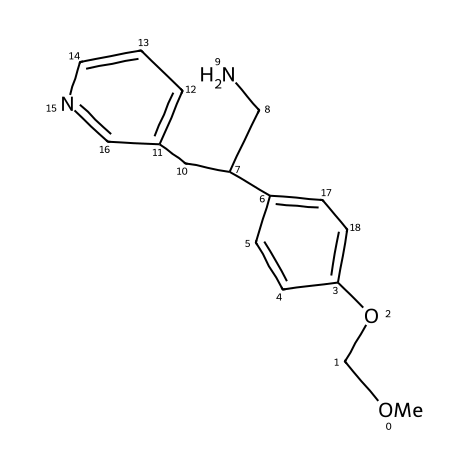 COCOc1ccc(C(CN)Cc2cccnc2)cc1